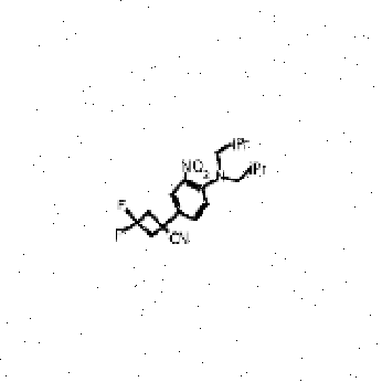 CC(C)CN(CC(C)C)c1ccc(C2(C#N)CC(F)(F)C2)cc1[N+](=O)[O-]